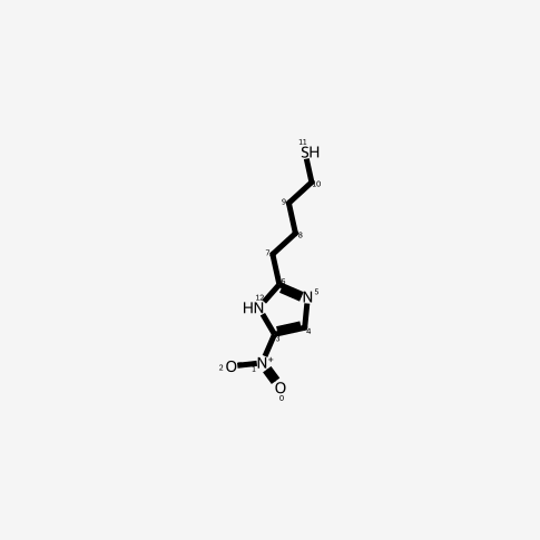 O=[N+]([O-])c1cnc(CCCCS)[nH]1